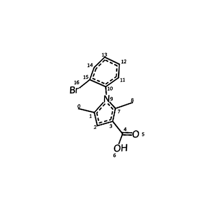 Cc1cc(C(=O)O)c(C)n1-c1ccccc1Br